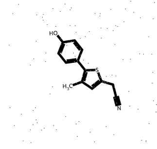 Cc1cc(CC#N)sc1-c1ccc(O)cc1